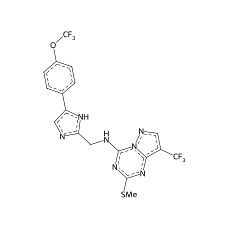 CSc1nc(NCc2ncc(-c3ccc(OC(F)(F)F)cc3)[nH]2)n2ncc(C(F)(F)F)c2n1